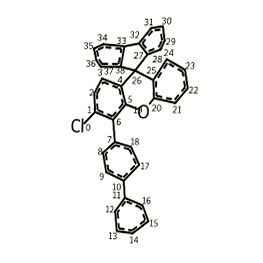 Clc1ccc2c(c1-c1ccc(-c3ccccc3)cc1)Oc1ccccc1C21c2ccccc2-c2ccccc21